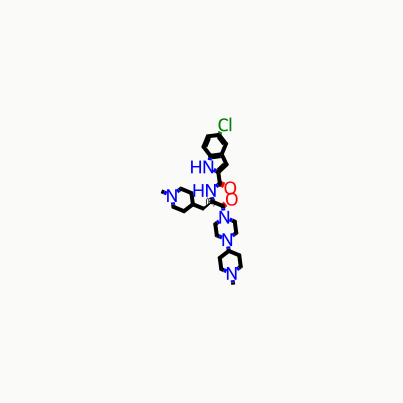 CN1CCC(C[C@@H](NC(=O)c2cc3cc(Cl)ccc3[nH]2)C(=O)N2CCN(C3CCN(C)CC3)CC2)CC1